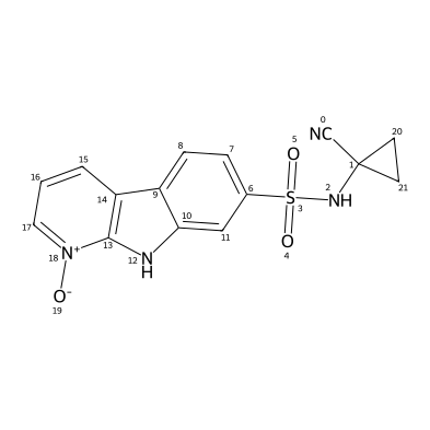 N#CC1(NS(=O)(=O)c2ccc3c(c2)[nH]c2c3ccc[n+]2[O-])CC1